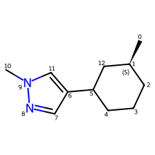 C[C@H]1CCCC(c2cnn(C)c2)C1